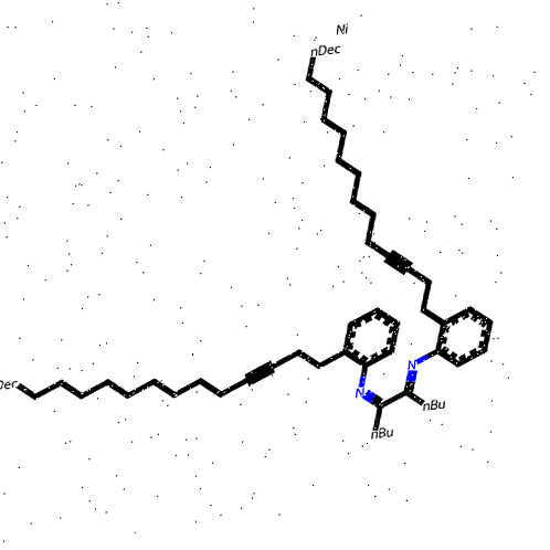 CCCCCCCCCCCCCCCCCCCC#CCCc1ccccc1N=C(CCCC)C(CCCC)=Nc1ccccc1CCC#CCCCCCCCCCCCCCCCCCCC.[Ni]